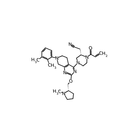 C=CC(=O)N1CCN(c2nc(OC[C@@H]3CCCN3C)nc3c2CCN(c2cccc(C)c2C)C3)C[C@@H]1CC#N